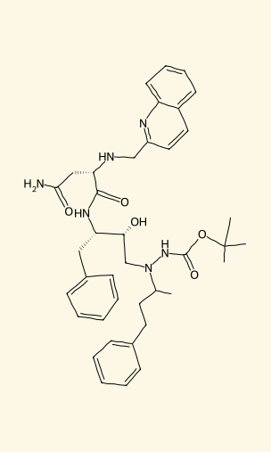 CC(CCc1ccccc1)N(C[C@@H](O)[C@H](Cc1ccccc1)NC(=O)[C@H](CC(N)=O)NCc1ccc2ccccc2n1)NC(=O)OC(C)(C)C